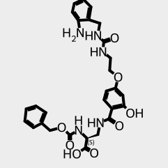 Nc1ccccc1CNC(=O)NCCOc1ccc(C(=O)NC[C@H](NC(=O)OCc2ccccc2)C(=O)O)c(O)c1